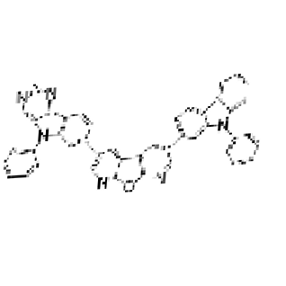 c1ccc(-n2c3ccccc3c3ccc(-c4cnc5oc6ncc(-c7ccc8c9nnncc9n(-c9ccccc9)c8c7)cc6c5c4)cc32)cc1